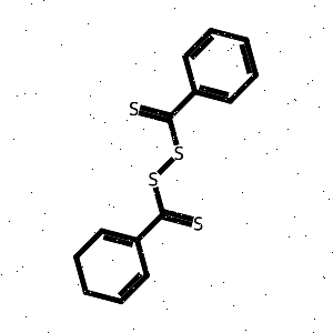 S=C(SSC(=S)c1ccccc1)C1=CCCC=C1